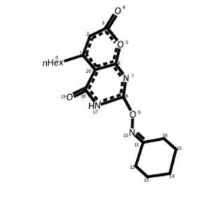 CCCCCCc1cc(=O)oc2nc(ON=C3CCCCC3)[nH]c(=O)c12